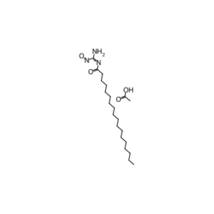 CC(=O)O.CCCCCCCCCCCCCCCCCC(=O)N=C(N)N=O